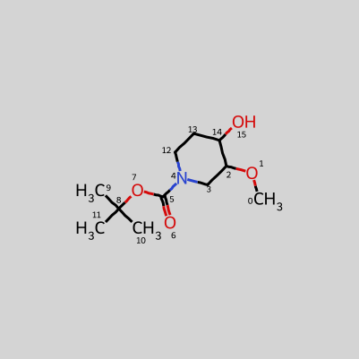 COC1CN(C(=O)OC(C)(C)C)CCC1O